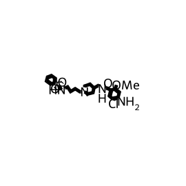 COc1cc(N)c(Cl)cc1C(=O)NCC1CCN(CCCCNS(=O)(=O)c2ccccc2)CC1